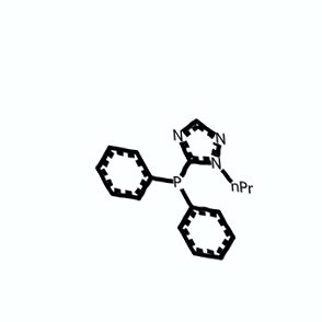 CCCn1ncnc1P(c1ccccc1)c1ccccc1